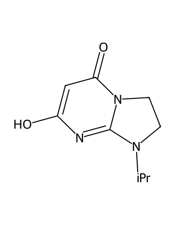 CC(C)N1CCn2c1nc(O)cc2=O